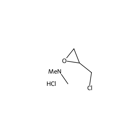 CNC.Cl.ClCC1CO1